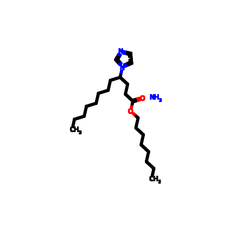 CCCCCCCCOC(=O)CCC(CCCCCCCC)n1ccnc1.N